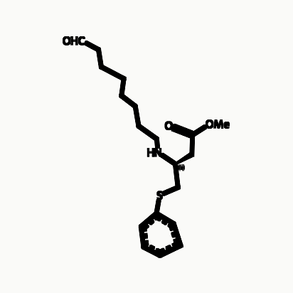 COC(=O)C[C@@H](CSc1ccccc1)NCCCCCCCC=O